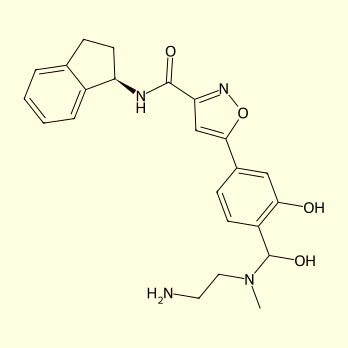 CN(CCN)C(O)c1ccc(-c2cc(C(=O)N[C@@H]3CCc4ccccc43)no2)cc1O